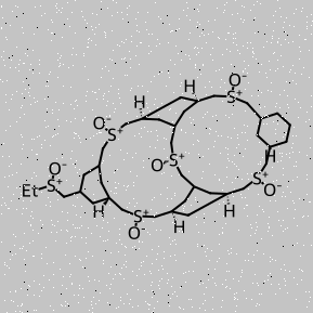 CC[S+]([O-])CC1CC2C[C@@H](C1)C[S+]([O-])C[C@H]1CC3C[C@H](C1)C[S+]([O-])C[C@H]1CCCC(C1)C[S+]([O-])C[C@H]1CC(C[C@H](C1)C[S+]([O-])C2)C[S@@+]([O-])C3